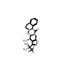 C[C@H]1CN(C(=O)[C@@H]2c3ccccc3CCN2C)Cc2onc([C@@](C)(O)C(F)(F)F)c21